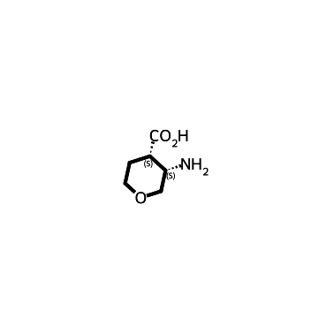 N[C@@H]1COCC[C@@H]1C(=O)O